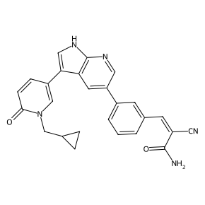 N#CC(=Cc1cccc(-c2cnc3[nH]cc(-c4ccc(=O)n(CC5CC5)c4)c3c2)c1)C(N)=O